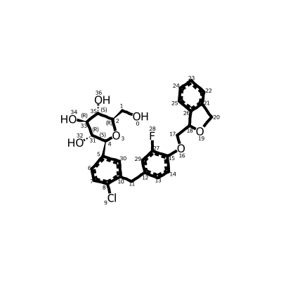 OC[C@H]1O[C@@H](c2ccc(Cl)c(Cc3ccc(OCC4OCc5ccccc54)c(F)c3)c2)[C@H](O)[C@@H](O)[C@@H]1O